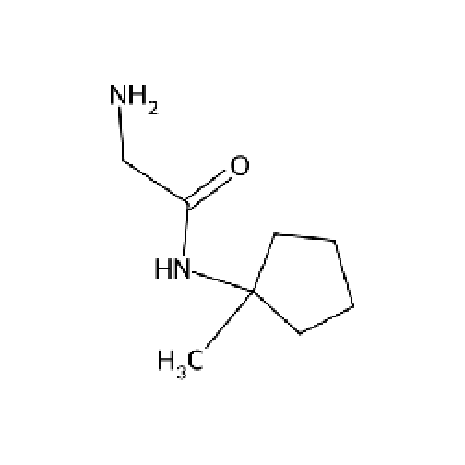 CC1(NC(=O)CN)CCCC1